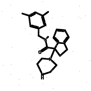 Cc1cc(C)cc(CN(C)C(=O)C2(N3CCNCC3)CCc3ccccc32)c1